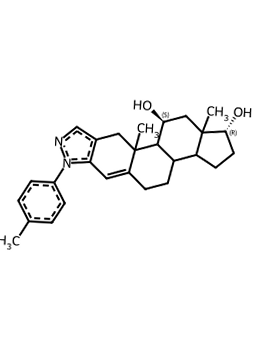 Cc1ccc(-n2ncc3c2C=C2CCC4C([C@@H](O)CC5(C)C4CC[C@H]5O)C2(C)C3)cc1